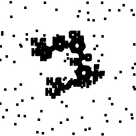 Cc1ccc(C(=O)Nc2cc(NCCN(C)C)c(F)c(C(F)(F)F)c2)cc1-n1cc(-c2cn[nH]c2C)nn1